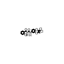 CC1(C)C(Oc2ccc(NC(=O)NC(=O)c3ccccc3Cl)cc2Cl)C1(Cl)Cl